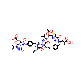 CCC[C@H](C(=O)N[C@H](C(=O)N(C)[C@H](C[C@@H](OC(C)=O)c1nc(C(=O)N[C@@H](Cc2ccccc2)C[C@H](C)C(=O)O)cs1)C(C)C)[C@@H](C)CC)[N+](C)(CC)Cc1ccc(NC(=O)[C@H](CCC(=O)O)NC(=O)[C@@H](N)C(C)C)cc1